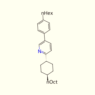 CCCCCCCC[C@H]1CC[C@H](c2ccc(-c3ccc(CCCCCC)cc3)cn2)CC1